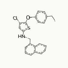 CCc1ccc(Oc2sc(NCc3cccc4ccccc34)cc2Cl)cc1